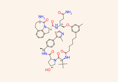 Cc1cc(CCCCCC(=O)N[C@H](C(=O)N2C[C@H](O)CC2C(=O)N[C@@H](C)c2ccc(-c3scnc3C)cc2)C(C)(C)C)cc(OC[C@H](CCC(N)=O)NC(=O)[C@@H]2Cc3cccc4c3N2C(=O)[C@@H](N)CC4)c1